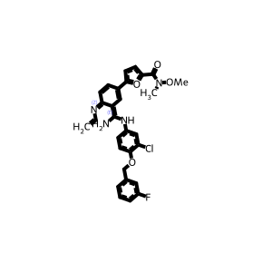 C=C/N=C1/C=CC(c2ccc(C(=O)N(C)OC)o2)=C/C1=C(/N)Nc1ccc(OCc2cccc(F)c2)c(Cl)c1